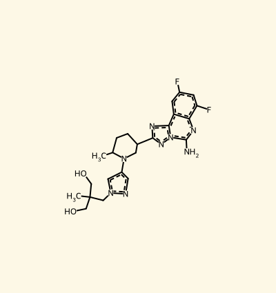 CC1CCC(c2nc3c4cc(F)cc(F)c4nc(N)n3n2)CN1c1cnn(CC(C)(CO)CO)c1